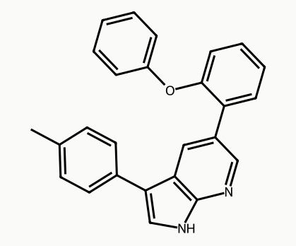 Cc1ccc(-c2c[nH]c3ncc(-c4ccccc4Oc4ccccc4)cc23)cc1